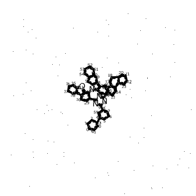 c1ccc(-c2cccc(-c3nc(-c4ccc5c(ccc6ccccc65)c4)nc(-c4ccc5c(oc6ccccc65)c4-n4c5ccccc5c5cc6ccccc6cc54)n3)c2)cc1